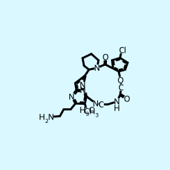 Cc1c(CCCN)nc2cc3nn2c1N(C)CCNC(=O)COc1ccc(Cl)cc1C(=O)N1CCCCC31